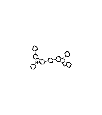 c1ccc(-c2ccc3c(c2)c2cc(-c4ccc(-c5ccc6c(c5)c5sc7ccccc7c5n6-c5ccccc5)cc4)ccc2n3-c2ccccc2)cc1